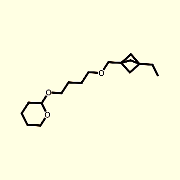 CCC12CC(COCCCCOC3CCCCO3)(C1)C2